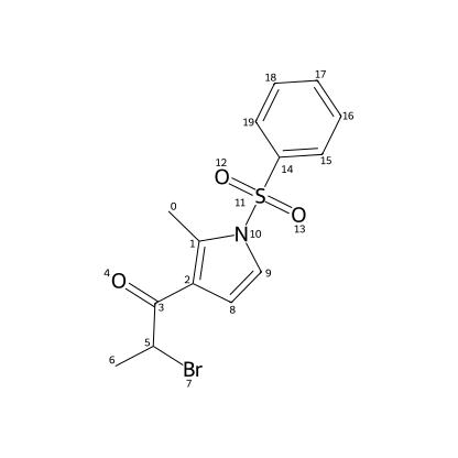 Cc1c(C(=O)C(C)Br)ccn1S(=O)(=O)c1ccccc1